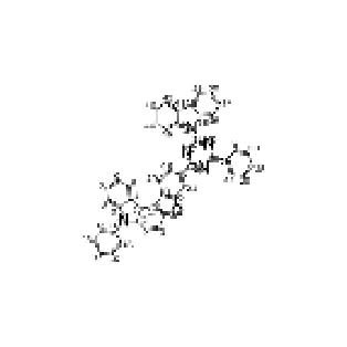 C1=CC2C(c3ccccc3N2c2ccccc2)c2c1oc1cc(-c3nc(-c4ccccc4)nc(-n4c5ccccc5c5ccccc54)n3)ccc21